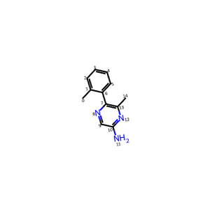 Cc1ccccc1-c1ncc(N)nc1C